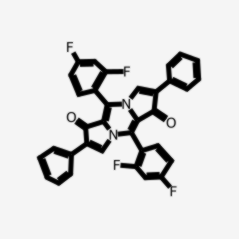 O=c1c(-c2ccccc2)cn2c(-c3ccc(F)cc3F)c3c(=O)c(-c4ccccc4)cn3c(-c3ccc(F)cc3F)c12